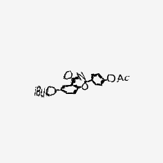 CC(=O)Oc1ccc(-c2nc(=O)c3cc(OCC(C)C)ccc3o2)cc1